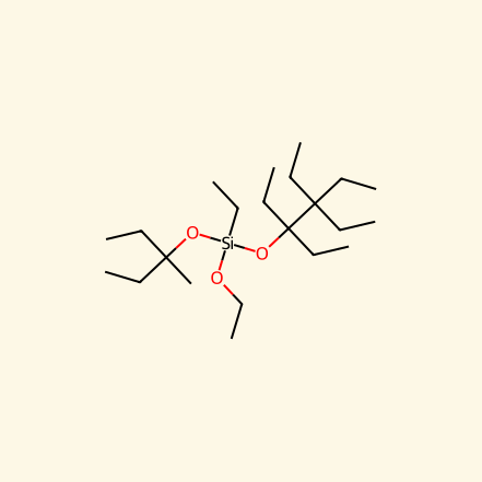 CCO[Si](CC)(OC(C)(CC)CC)OC(CC)(CC)C(CC)(CC)CC